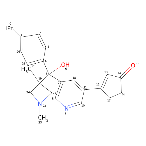 CC(C)c1ccc(C(O)(c2cncc(C3=CC(=O)CC3)c2)C2(C)CN(C)C2)cc1